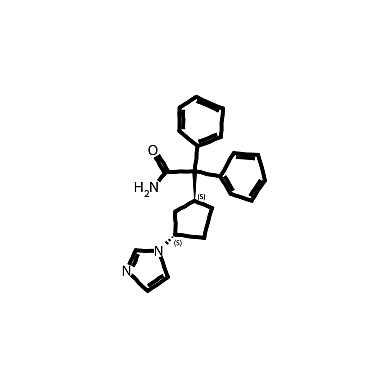 NC(=O)C(c1ccccc1)(c1ccccc1)[C@H]1CC[C@H](n2ccnc2)C1